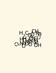 CCOC(OCC)C(C)N(Cc1cccc2cccnc12)C(=O)C(CC(=O)O)NC(=O)CONC(=O)NCc1ccccc1